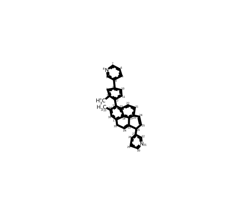 Cc1cc(-c2cccnc2)ccc1-c1c(C)cc2c3c4c(ccc13)C=CC(c1cccnc1)C4=CC2